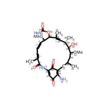 COC1/C=C\C=C(/C)C(=O)NC2=CC(=O)C(N)=C(CC(C)CC(OC)[C@H](O)[C@@H](C)/C=C(\C)C1OC(N)=O)C2=O